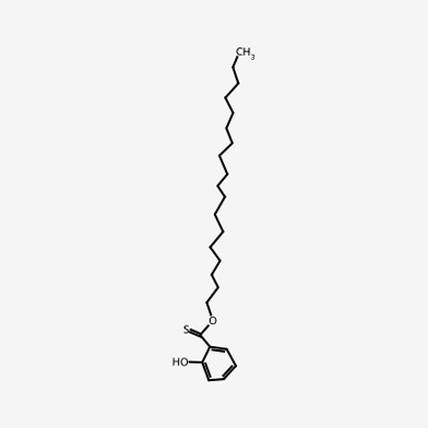 CCCCCCCCCCCCCCCCCCOC(=S)c1ccccc1O